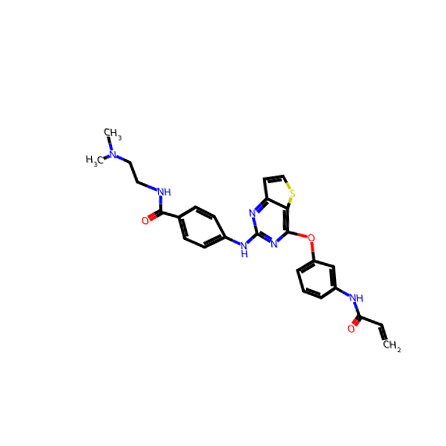 C=CC(=O)Nc1cccc(Oc2nc(Nc3ccc(C(=O)NCCN(C)C)cc3)nc3ccsc23)c1